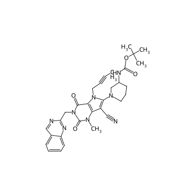 CC#CCn1c(N2CCCC(NC(=O)OC(C)(C)C)C2)c(C#N)c2c1c(=O)n(Cc1ncc3ccccc3n1)c(=O)n2C